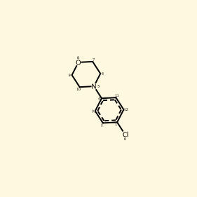 Clc1c[c]c(N2CCOCC2)cc1